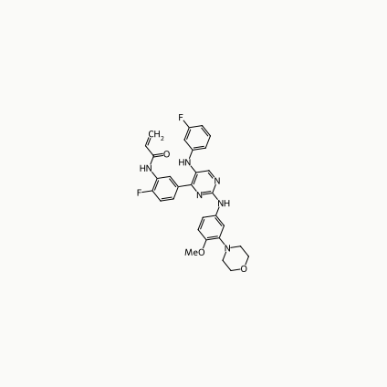 C=CC(=O)Nc1cc(-c2nc(Nc3ccc(OC)c(N4CCOCC4)c3)ncc2Nc2cccc(F)c2)ccc1F